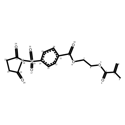 C=C(C)C(=O)OCCOC(=O)c1ccc(S(=O)(=O)N2C(=O)CCC2=O)cc1